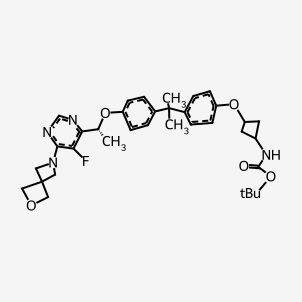 C[C@@H](Oc1ccc(C(C)(C)c2ccc(OC3CC(NC(=O)OC(C)(C)C)C3)cc2)cc1)c1ncnc(N2CC3(COC3)C2)c1F